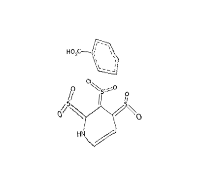 O=C(O)c1ccccc1.O=S(=O)=C1C=CNC(=S(=O)=O)C1=S(=O)=O